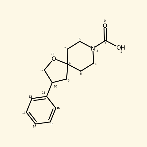 O=C(O)N1CCC2(CC1)CC(c1ccccc1)CO2